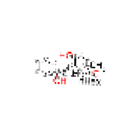 CCCCCCC1C(=O)[C@@]2(C)CC[C@@H](O)[C@H](C#C[C@@H](O)C3CCCCC3)[C@@H]12